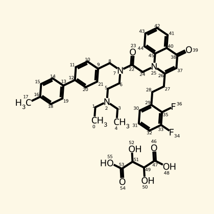 CCN(CC)CCN(Cc1ccc(-c2ccc(C)cc2)cc1)C(=O)Cn1c(CCc2cccc(F)c2F)cc(=O)c2ccccc21.O=C(O)C(O)C(O)C(=O)O